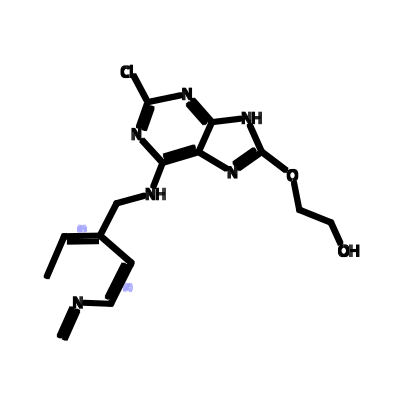 C=N/C=C\C(=C/C)CNc1nc(Cl)nc2[nH]c(OCCO)nc12